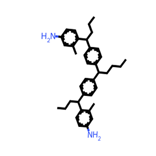 CCCCC(c1ccc(C(CCC)c2ccc(N)cc2C)cc1)c1ccc(C(CCC)c2ccc(N)cc2C)cc1